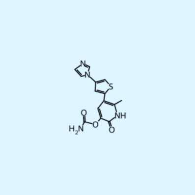 Cc1[nH]c(=O)c(OC(N)=O)cc1-c1cc(-n2ccnc2)cs1